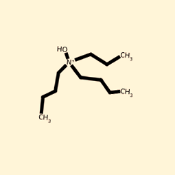 CCCC[N+](O)(CCC)CCCC